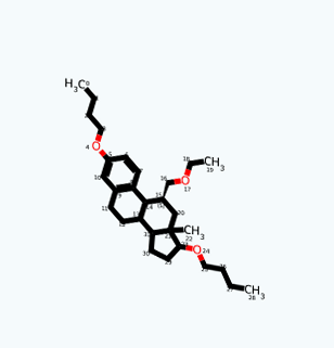 CCCCOc1ccc2c(c1)CCC1C2[C@@H](COCC)CC2(C)C(OCCCC)CCC12